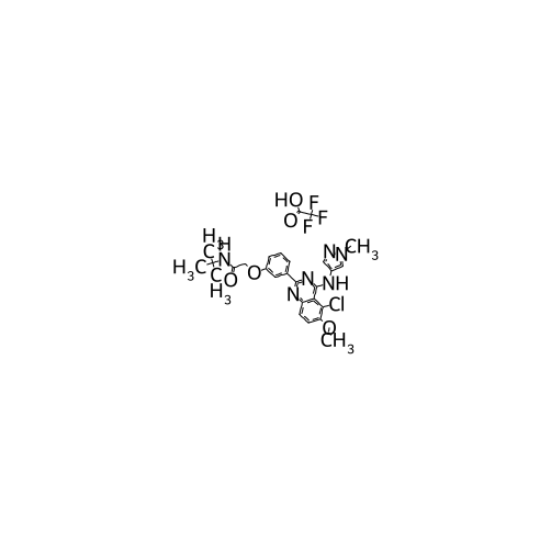 COc1ccc2nc(-c3cccc(OCC(=O)NC(C)(C)C)c3)nc(Nc3cnn(C)c3)c2c1Cl.O=C(O)C(F)(F)F